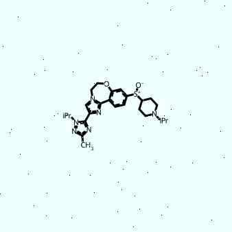 Cc1nc(-c2cn3c(n2)-c2ccc([S+]([O-])C4CCN(C(C)C)CC4)cc2OCC3)n(C(C)C)n1